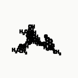 CC#C[C@@]1(O)CCC2C3CCC4=CC(=O)CCC4=C3[C@H](c3ccc(NCCO[C@@]4(C)CC[C@@]5(C)[C@H](C[C@@H](OC(=O)CCCNC(=O)OC(C)(C)C)[C@@H]6[C@@H]5C[C@H](O)[C@]5(C)[C@@H]([C@H](C)CCC(=O)O)CC[C@@H]65)C4)cc3)C[C@@]21C